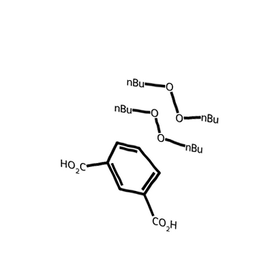 CCCCOOCCCC.CCCCOOCCCC.O=C(O)c1cccc(C(=O)O)c1